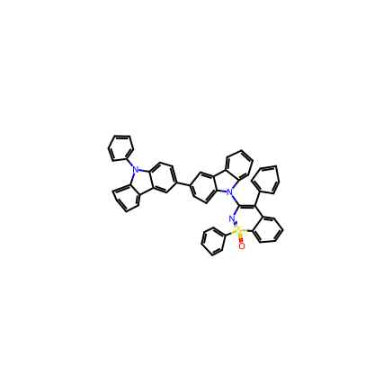 O=S1(c2ccccc2)=NC(n2c3ccccc3c3cc(-c4ccc5c(c4)c4ccccc4n5-c4ccccc4)ccc32)=C(c2ccccc2)c2ccccc21